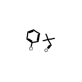 CC(C)(C)C=O.Clc1ccccc1